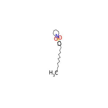 CCCCCCCCCCCCc1ccc(S(=O)(=O)N2CCCCCC2)cc1